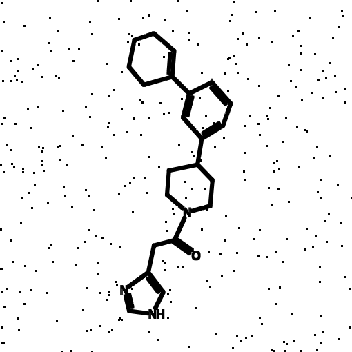 O=C(Cc1c[nH]cn1)N1CCC(c2cc[c]c(C3=CCCCC3)c2)CC1